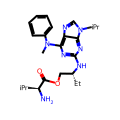 CC[C@H](COC(=O)[C@@H](N)C(C)C)Nc1nc(N(C)c2ccccc2)c2ncn(C(C)C)c2n1